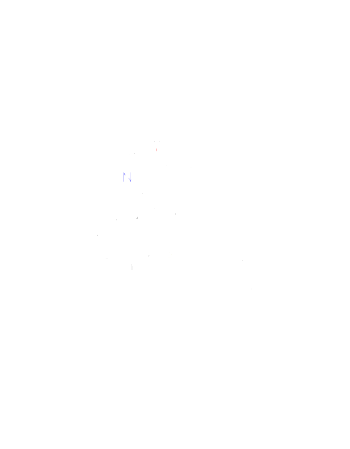 [c]1nc2c(-c3ccccc3SCc3ccccc3)cccc2o1